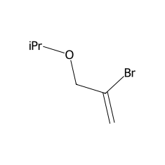 C=C(Br)COC(C)C